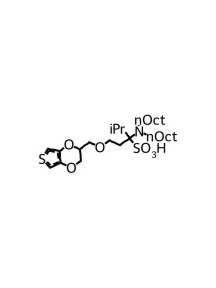 CCCCCCCCN(CCCCCCCC)C(CCOCC1COc2cscc2O1)(C(C)C)S(=O)(=O)O